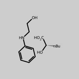 CCCC[C@H](O)C(=O)O.OCCNc1ccccc1